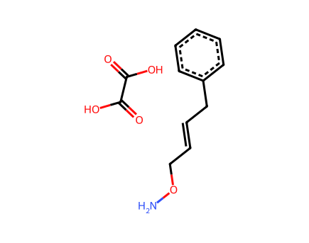 NOCC=CCc1ccccc1.O=C(O)C(=O)O